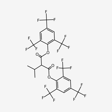 CC(C)C(C(=O)Oc1c(C(F)(F)F)cc(C(F)(F)F)cc1C(F)(F)F)C(=O)Oc1c(C(F)(F)F)cc(C(F)(F)F)cc1C(F)(F)F